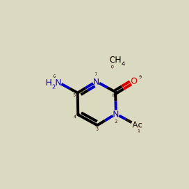 C.CC(=O)n1ccc(N)nc1=O